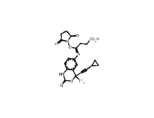 O=C(O)CCC(=Nc1ccc2c(c1)C(C#CC1CC1)(C(F)(F)F)OC(=O)N2)ON1C(=O)CCC1=O